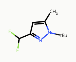 Cc1cc(C(F)F)nn1C(C)(C)C